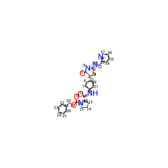 CN1C(=O)C(c2ccc(NC(=O)[C@@H]3CCCN3C(=O)OCc3ccccc3)cc2)S/C1=N\Cc1ccccn1